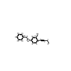 CCC#Cc1ccc(OCc2ccccc2)cc1C